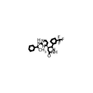 CC(Nc1nccc([C@@H]2CC(=O)NN=C2c2cccc(C(F)(F)F)c2)n1)c1ccccc1